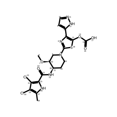 CO[C@H]1CN(c2nc(-c3ccn[nH]3)c(OC(=O)O)s2)CC[C@H]1NC(=O)c1[nH]c(C)c(Cl)c1Cl